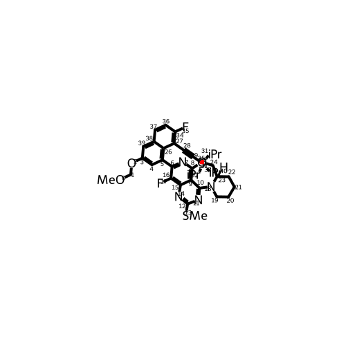 COCOc1cc(-c2nc3c4c(nc(SC)nc4c2F)N2CCCC[C@H]2CO3)c2c(C#C[Si](C(C)C)(C(C)C)C(C)C)c(F)ccc2c1